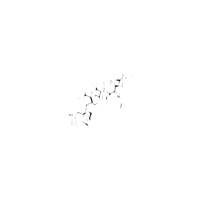 CCO/N=C(\C(=O)N[C@@H]1C(=O)N2C(C(=O)[O-])=C(Cn3cc4scc[n+]4c3CNC=O)CS[C@H]12)c1nsc(N)n1